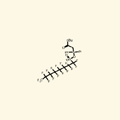 CCCCC(=O)CS(OS(=O)(=O)C(F)(F)C(F)(F)C(F)(F)C(F)(F)C(F)(F)C(F)(F)C(F)(F)C(F)(F)F)(C(C)C)C(C)C